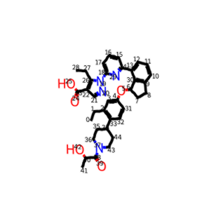 CCc1cc(OC2CCc3cccc(-c4cccc(-n5ncc(C(=O)O)c5CC)n4)c32)ccc1C1CCN(C(=O)C(C)O)CC1